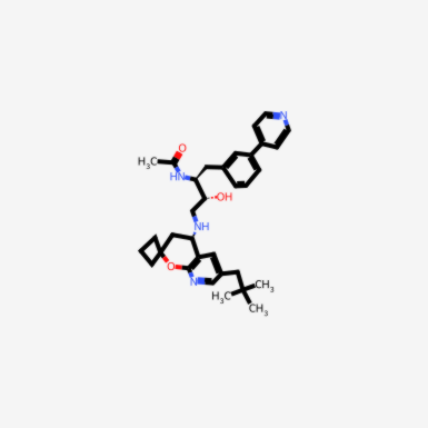 CC(=O)N[C@@H](Cc1cccc(-c2ccncc2)c1)[C@H](O)CN[C@H]1CC2(CCC2)Oc2ncc(CC(C)(C)C)cc21